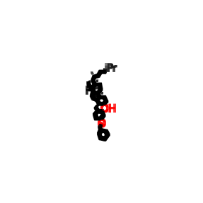 CC(C)CCC[C@@H](C)[C@H]1CC[C@H]2[C@@H]3CCC4[C@H](Cc5ccc(OCc6ccccc6)cc5)[C@H](O)CC[C@]4(C)[C@H]3CC[C@]12C